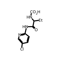 CCC(NC(=O)O)C(=O)Nc1ccc(Cl)cn1